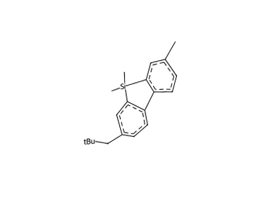 Cc1ccc2c(c1)[Si](C)(C)c1cc(CC(C)(C)C)ccc1-2